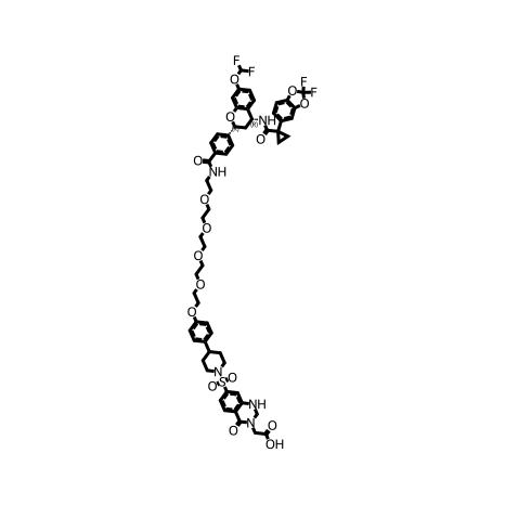 O=C(O)CN1CNc2cc(S(=O)(=O)N3CCC(c4ccc(OCCOCCOCCOCCOCCNC(=O)c5ccc([C@H]6C[C@@H](NC(=O)C7(c8ccc9c(c8)OC(F)(F)O9)CC7)c7ccc(OC(F)F)cc7O6)cc5)cc4)CC3)ccc2C1=O